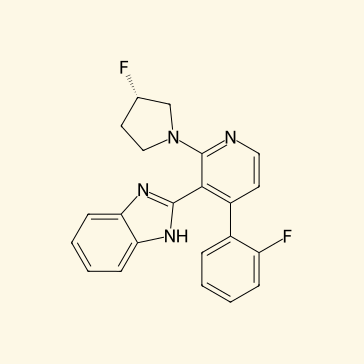 Fc1ccccc1-c1ccnc(N2CC[C@H](F)C2)c1-c1nc2ccccc2[nH]1